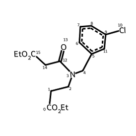 CCOC(=O)CCN(Cc1cccc(Cl)c1)C(=O)CC(=O)OCC